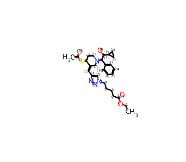 CCOC(=O)CCCCn1cc(/C=C2\CN(C(C(=O)C3CC3)c3ccccc3F)CCC2SC(C)=O)nn1